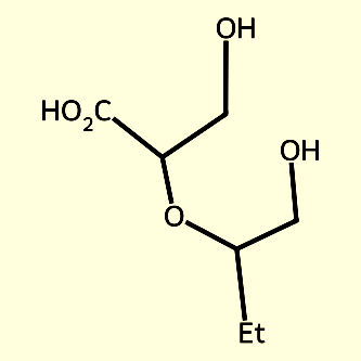 CCC(CO)OC(CO)C(=O)O